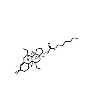 CCCCCCOC(=O)O[C@H]1CC[C@H]2[C@@H]3[C@H](CC)CC4=CC(=O)CC[C@@H]4[C@H]3[C@@H](CC)C[C@]12C